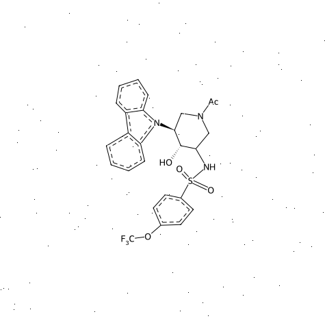 CC(=O)N1CC(NS(=O)(=O)c2ccc(OC(F)(F)F)cc2)[C@H](O)[C@@H](n2c3ccccc3c3ccccc32)C1